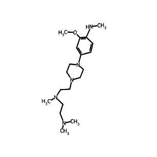 CNc1ccc(N2CCN(CCN(C)CCN(C)C)CC2)cc1OC